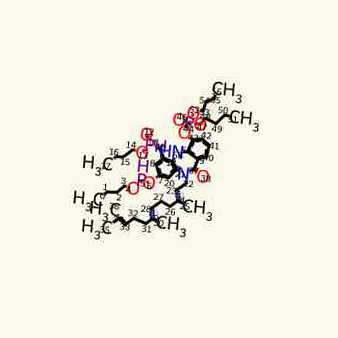 CCCCOPOc1cc(C[PH](=O)OCCCC)c2c(c1)N(C/C=C(\C)CC/C=C(\C)CCC=C(C)C)C(=O)c1cccc(OP(=O)(OCCCC)OCCCC)c1N2